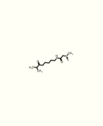 CC(C)C(=O)CCCCCNC(=O)CS(C)=S